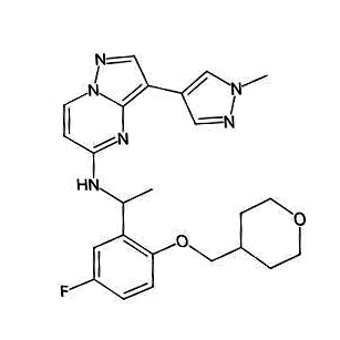 CC(Nc1ccn2ncc(-c3cnn(C)c3)c2n1)c1cc(F)ccc1OCC1CCOCC1